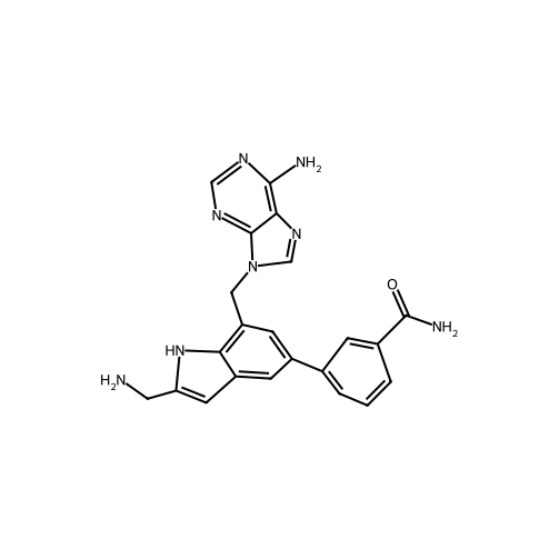 NCc1cc2cc(-c3cccc(C(N)=O)c3)cc(Cn3cnc4c(N)ncnc43)c2[nH]1